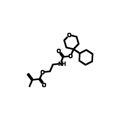 C=C(C)C(=O)OCCNC(=O)OC1(C2CCCCC2)CCOCC1